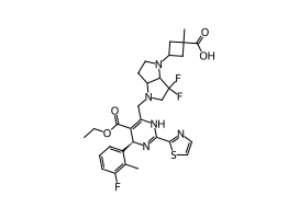 CCOC(=O)C1=C(CN2CC(F)(F)C3C2CCN3C2CC(C)(C(=O)O)C2)NC(c2nccs2)=N[C@H]1c1cccc(F)c1C